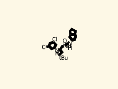 CC(C)(C)c1cc(CNC(=O)Nc2ccc3c(c2)CCC3)n(-c2cc(Cl)cc(Cl)c2)n1